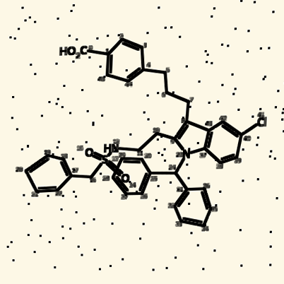 O=C(O)c1ccc(CCCc2c(CCNS(=O)(=O)Cc3ccccc3)n(C(c3ccccc3)c3ccccc3)c3ccc(Cl)cc23)cc1